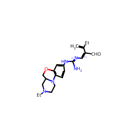 C=C(CC)/C(C=O)=C\N=C(/N)Nc1ccc2c(c1)OCC1CN(CC)CCN21